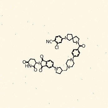 N#Cc1ccc(N2CCC3(CCN(C(=O)c4ccc(N5CCN(C[C@H]6CCN(c7ccc8c(c7)C(=O)N(C7CCC(=O)NC7=O)C8=O)C6)CC5)cc4)C3)C2)cc1Cl